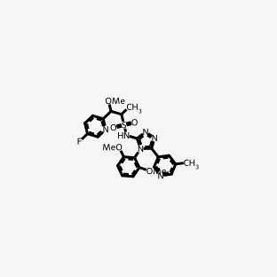 COc1cccc(OC)c1-n1c(NS(=O)(=O)C(C)C(OC)c2ccc(F)cn2)nnc1-c1cncc(C)c1